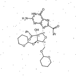 CC(C)C(=O)c1nc2c(=O)[nH]c(N)nc2n1[C@@H]1O[C@H](COC2CCCCO2)[C@@H](OC2CCCCO2)[C@@]1(O)C(=O)C(C)C